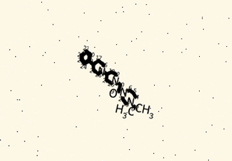 CC(C)N1CCCN(C(=O)CN2CCC(N3CCC(c4ccccc4)CC3)CC2)CC1